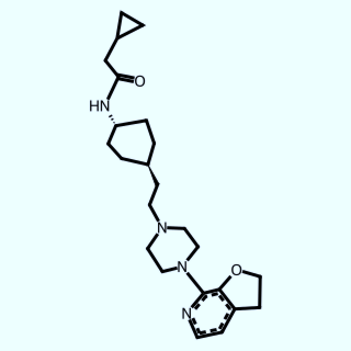 O=C(CC1CC1)N[C@H]1CC[C@H](CCN2CCN(c3nccc4c3OCC4)CC2)CC1